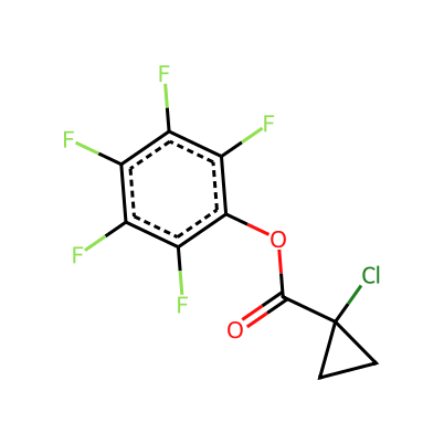 O=C(Oc1c(F)c(F)c(F)c(F)c1F)C1(Cl)CC1